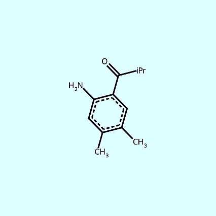 Cc1cc(N)c(C(=O)C(C)C)cc1C